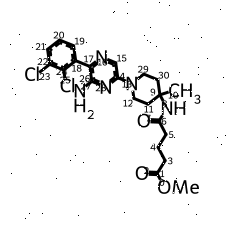 COC(=O)CCCC(=O)NC1(C)CCN(c2cnc(-c3cccc(Cl)c3Cl)c(N)n2)CC1